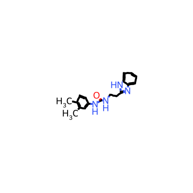 Cc1ccc(NC(=O)NCCc2nc3ccccc3[nH]2)cc1C